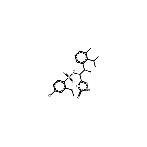 COc1cc(Cl)ccc1S(=O)(=O)N[C@H](c1n[nH]c(=O)o1)[C@H](C)c1cccc(C)c1C(C)C